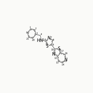 c1ccc(CNc2ncc(-c3nc4ccncc4s3)s2)cc1